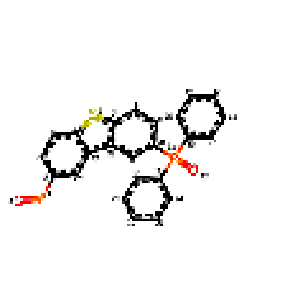 O=Pc1ccc2sc3ccc(P(=O)(c4ccccc4)c4ccccc4)cc3c2c1